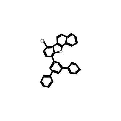 Clc1ccc(-c2cc(-c3ccccc3)cc(-c3ccccc3)c2)c2oc3c4ccccc4ccc3c12